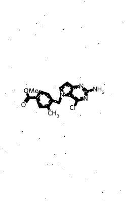 COC(=O)c1ccc(Cn2ccc3nc(N)nc(Cl)c32)c(C)c1